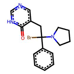 O=c1[nH]cncc1CC(Br)(c1ccccc1)N1CCCC1